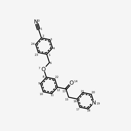 N#Cc1ccc(COc2cccc(C(=O)Cc3ccncc3)c2)cc1